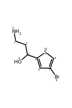 NCCC(O)c1cc(Br)cs1